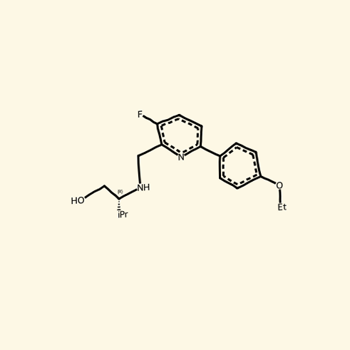 CCOc1ccc(-c2ccc(F)c(CN[C@@H](CO)C(C)C)n2)cc1